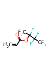 C=CC(=O)OC(F)(C(F)(F)F)C(F)(F)C(F)(F)F